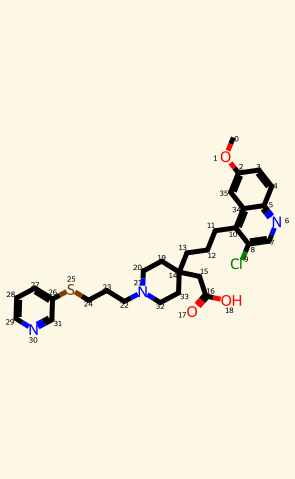 COc1ccc2ncc(Cl)c(CCCC3(CC(=O)O)CCN(CCCSc4cccnc4)CC3)c2c1